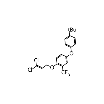 CC(C)(C)c1ccc(Oc2ccc(OCC=C(Cl)Cl)c(C(F)(F)F)c2)cc1